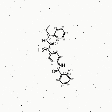 CCC(NC(=O)N(S)c1ccc(NC(=O)c2ccccc2F)cc1)c1ccccc1